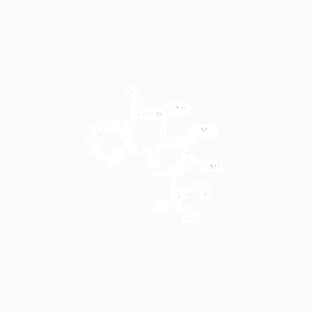 CCCCn1c(=O)c2ccccc2c2cc(C(O)(C(F)(F)F)C(F)(F)F)c(OC)c(OC)c21